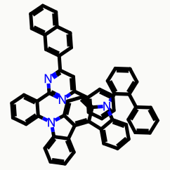 c1ccc(-c2cc(-c3ccc4ccccc4c3)nc(-c3ccccc3-n3c4ccccc4c4c5c6ccccc6n(-c6ccccc6-c6ccccc6)c5ccc43)n2)cc1